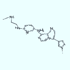 CNCCNc1ccc(Nc2nccn3c(-c4cnn(C)c4)cnc23)cn1